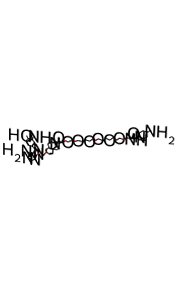 Nc1cc(-c2nn(Cc3ccc4c(c3)CCN(C(=O)CCOCCOCCOCCOCCOCCOCCNC(=O)CN3CCC(N)CC3)C4)c3ncnc(N)c23)ccc1O